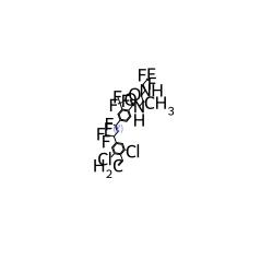 C=Cc1c(Cl)cc(C(/C=C(\F)c2ccc(C(=O)NC(C)C(=O)NCC(F)(F)F)c(C(F)(F)F)c2)C(F)(F)F)cc1Cl